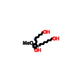 CO[C@@H]1C[C@@H](O)[C@@H](/C=C/CCCCCCO)C1C/C=C\CCCCO